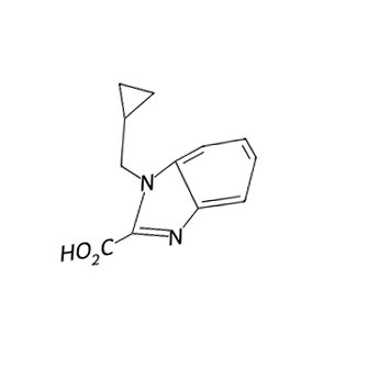 O=C(O)c1nc2ccccc2n1CC1CC1